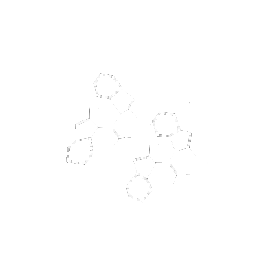 CC1=Cc2ccccc2[CH]1[Hf](=[C](C)C)[CH]1C(C)=Cc2ccccc21.CC1=Cc2ccccc2[CH]1[Hf](=[C](C)C)[CH]1C(C)=Cc2ccccc21.Cl.Cl